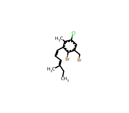 CC/C(C)=C/C=C\c1c(C)c(Cl)cc(CBr)c1Br